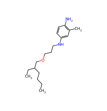 CCCCC(CC)COCCCNc1ccc(N)c(C)c1